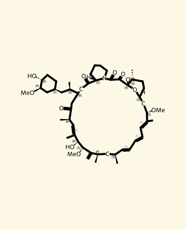 C=C1[C@H](C)C[C@H](C)/C=C/C=C/C=C(\C)[C@@H](OC)C[C@@H]2CC[C@@H](C)[C@@](O)(O2)C(=O)C(=O)N2CCCC[C@H]2C(=O)C[C@H]([C@H](C)C[C@@H]2CC[C@@H](O)[C@H](OC)C2)CC(=O)[C@H](C)/C=C(\C)[C@@H](O)[C@H]1OC